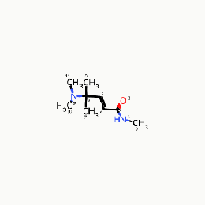 CNC(=O)C=CC(C)(C)N(C)C